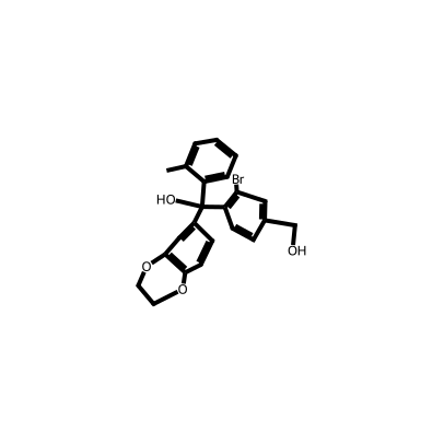 Cc1ccccc1C(O)(c1ccc2c(c1)OCCO2)c1ccc(CO)cc1Br